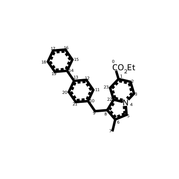 CCOC(=O)c1ccn2cc(C)c(Cc3ccc(-c4ccccc4)cc3)c2c1